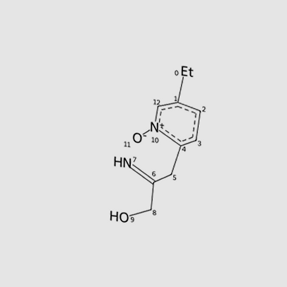 CCc1ccc(CC(=N)CO)[n+]([O-])c1